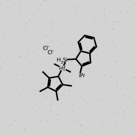 CC1=C(C)[CH]([Hf]([CH3])([CH3])[SiH2]C2C(C(C)C)=Cc3ccccc32)C(C)=C1C.[Cl-].[Cl-]